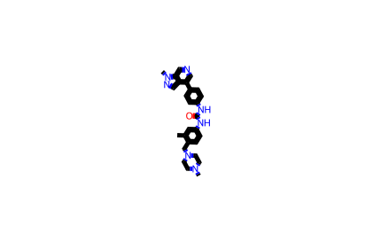 Cc1cc(NC(=O)Nc2ccc(-c3cncc4c3cnn4C)cc2)ccc1CN1CCN(C)CC1